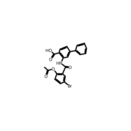 CC(=O)Oc1ccc(Br)cc1C(=O)Nc1cc(-c2ccccc2)ccc1C(=O)O